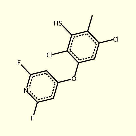 Cc1c(Cl)cc(Oc2cc(F)nc(F)c2)c(Cl)c1S